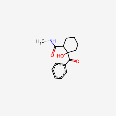 CNC(=O)C1CCCCC1(O)C(=O)c1ccccc1